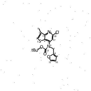 Cc1csc2c(N(Cc3ccco3)C(=O)OC(C)(C)C)cc(Cl)nc12